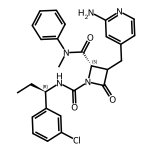 CC[C@@H](NC(=O)N1C(=O)C(Cc2ccnc(N)c2)[C@H]1C(=O)N(C)c1ccccc1)c1cccc(Cl)c1